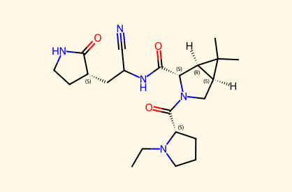 CCN1CCC[C@H]1C(=O)N1C[C@H]2[C@@H]([C@H]1C(=O)NC(C#N)C[C@@H]1CCNC1=O)C2(C)C